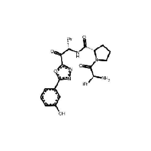 CC(C)[C@H](N)C(=O)N1CCC[C@H]1C(=O)N[C@H](C(=O)c1nnc(-c2cccc(O)c2)o1)C(C)C